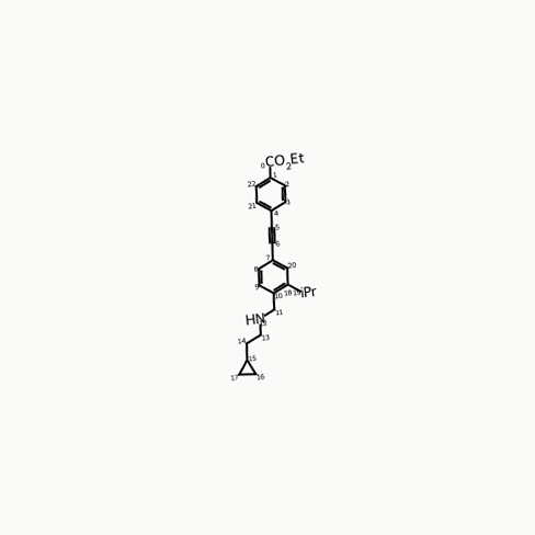 CCOC(=O)c1ccc(C#Cc2ccc(CNCCC3CC3)c(C(C)C)c2)cc1